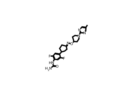 Cc1cnc(N2CCC(ON=C3CCC(c4cc(F)c(NC(N)=O)cc4F)CC3)CC2)nc1